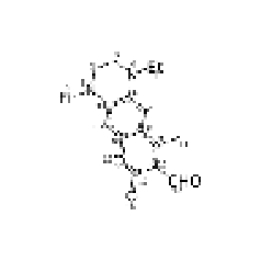 CCN1CCN(CC)c2cc3c(C)c(C=O)c(=O)oc3cc21